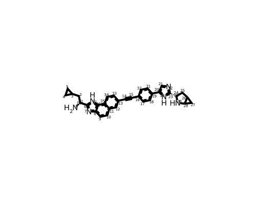 N[C@@H](CC1CC1)c1nc2ccc3cc(C#Cc4ccc(-c5cnc([C@@H]6CC7CC7N6)[nH]5)cc4)ccc3c2[nH]1